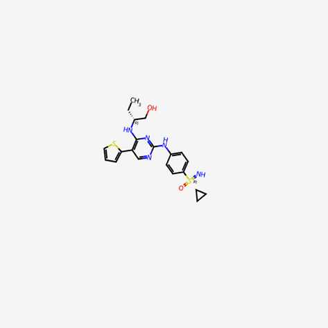 CC[C@H](CO)Nc1nc(Nc2ccc([S@](=N)(=O)C3CC3)cc2)ncc1-c1cccs1